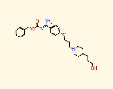 N/C(=N\C(=O)OCc1ccccc1)c1ccc(OCCCN2CCC(CCCO)CC2)cc1